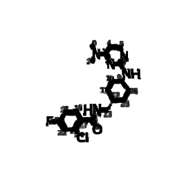 CN(C)c1ccnc(N[C@H]2CC[C@@H](CNC(=O)c3ccc(F)cc3Cl)CC2)n1